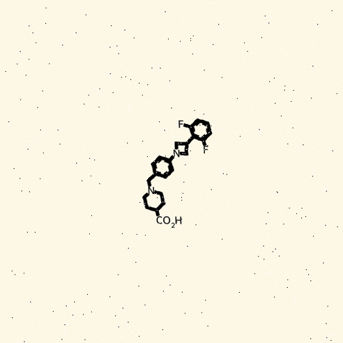 O=C(O)C1CCN(Cc2ccc(N3CC(c4c(F)cccc4F)C3)cc2)CC1